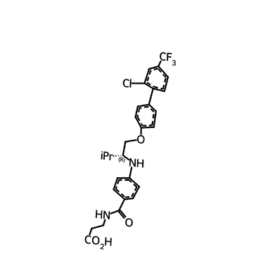 CC(C)[C@H](COc1ccc(-c2ccc(C(F)(F)F)cc2Cl)cc1)Nc1ccc(C(=O)NCCC(=O)O)cc1